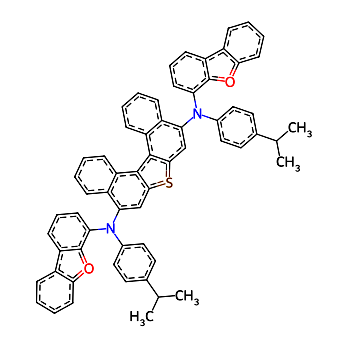 CC(C)c1ccc(N(c2cc3sc4cc(N(c5ccc(C(C)C)cc5)c5cccc6c5oc5ccccc56)c5ccccc5c4c3c3ccccc23)c2cccc3c2oc2ccccc23)cc1